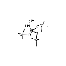 CCCN[Si](O[Si](C)(C)C)(O[Si](C)(C)C)O[Si](C)(C)C